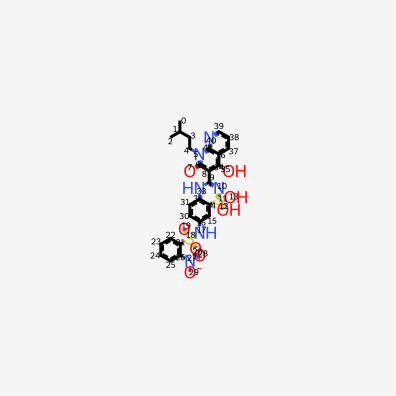 CC(C)CCn1c(=O)c(C2=NS(O)(O)c3cc(NS(=O)(=O)c4ccccc4[N+](=O)[O-])ccc3N2)c(O)c2cccnc21